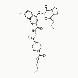 CCCCOC(=O)N1CCN(C(=O)CNC(=O)c2cc(OCC(=O)N3CCC[C@H]3C(=O)OCC)c3ccc(C)cc3n2)CC1